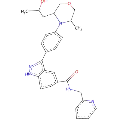 CC(O)CC1COCC(C)N1c1ccc(-c2n[nH]c3ccc(C(=O)NCc4ccccn4)cc23)cc1